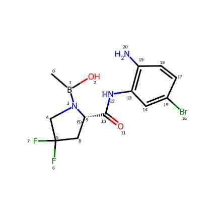 CB(O)N1CC(F)(F)C[C@H]1C(=O)Nc1cc(Br)ccc1N